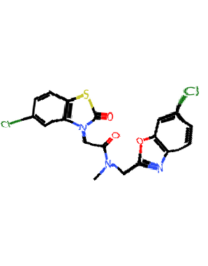 CN(Cc1nc2ccc(Cl)cc2o1)C(=O)Cn1c(=O)sc2ccc(Cl)cc21